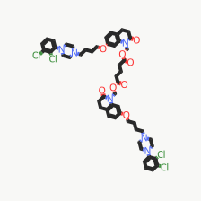 O=C(CCCC(=O)OCN1C(=O)CCc2ccc(OCCCCN3CCN(c4cccc(Cl)c4Cl)CC3)cc21)OCN1C(=O)CCc2ccc(OCCCCN3CCN(c4cccc(Cl)c4Cl)CC3)cc21